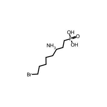 N.O=P(O)(O)CCCCCCCCBr